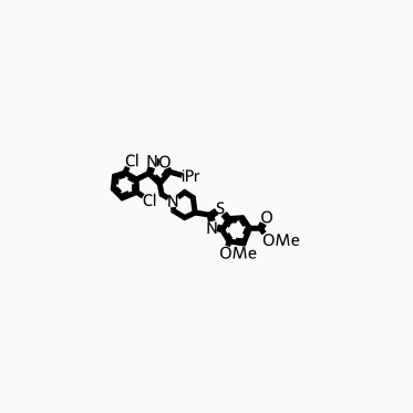 COC(=O)c1cc(OC)c2nc(C3CCN(Cc4c(-c5c(Cl)cccc5Cl)noc4C(C)C)CC3)sc2c1